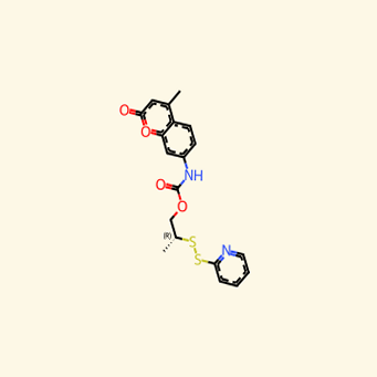 Cc1cc(=O)oc2cc(NC(=O)OC[C@@H](C)SSc3ccccn3)ccc12